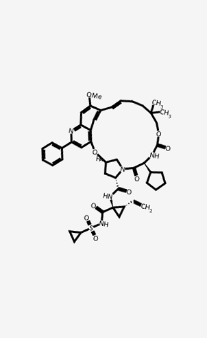 C=C[C@@H]1C[C@]1(NC(=O)[C@@H]1C[C@@H]2CN1C(=O)[C@H](C1CCCC1)NC(=O)OCC(C)(C)CC/C=C/c1cc3c(cc(-c4ccccc4)nc3cc1OC)O2)C(=O)NS(=O)(=O)C1CC1